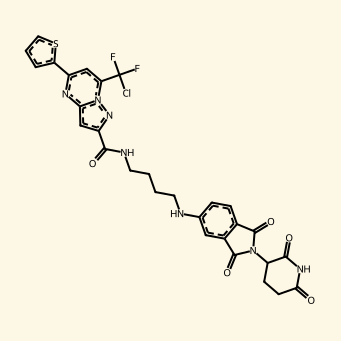 O=C1CCC(N2C(=O)c3ccc(NCCCCNC(=O)c4cc5nc(-c6cccs6)cc(C(F)(F)Cl)n5n4)cc3C2=O)C(=O)N1